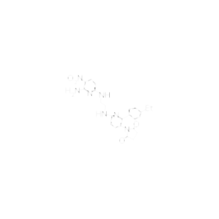 CCc1ccc(-c2nc(NCCNc3ccc([N+](=O)[O-])c(N)n3)ccc2N2C(=O)CCC2=O)cc1